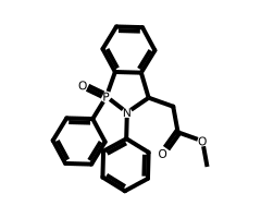 COC(=O)CC1c2ccccc2P(=O)(c2ccccc2)N1c1ccccc1